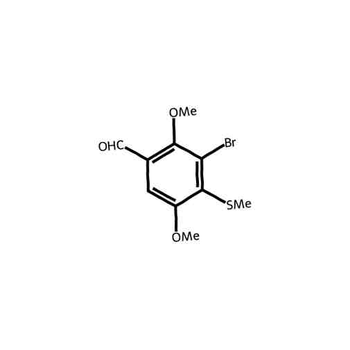 COc1cc(C=O)c(OC)c(Br)c1SC